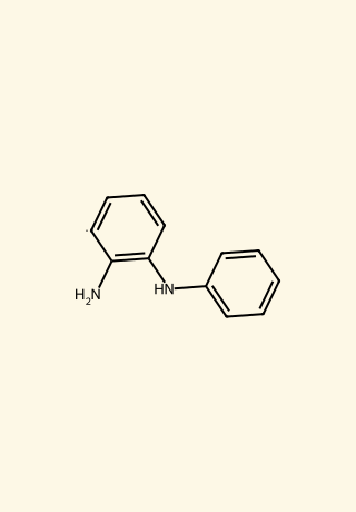 Nc1[c]cccc1Nc1ccccc1